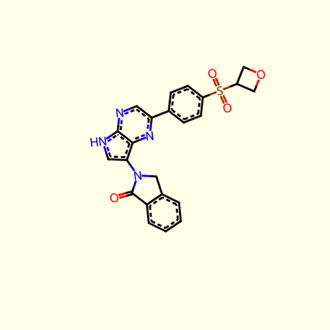 O=C1c2ccccc2CN1c1c[nH]c2ncc(-c3ccc(S(=O)(=O)C4COC4)cc3)nc12